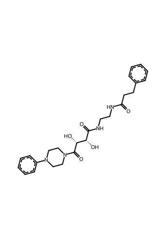 O=C(CCc1ccccc1)NCCNC(=O)[C@H](O)[C@@H](O)C(=O)N1CCN(c2ccccc2)CC1